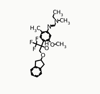 CCN(C)/C=N/c1cc(OC)c(C(O)(COC2Cc3ccccc3C2)C(F)(F)F)cc1C